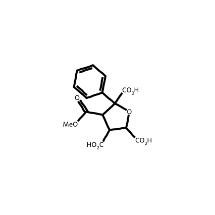 COC(=O)C1C(C(=O)O)C(C(=O)O)OC1(C(=O)O)c1ccccc1